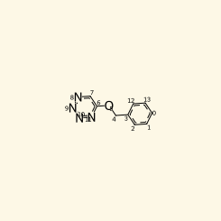 c1ccc(COc2cnnnn2)cc1